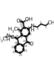 CCCCNc1cc2c(c(C)c1C(=O)O)C(=BNC)c1ccccc1C2=O